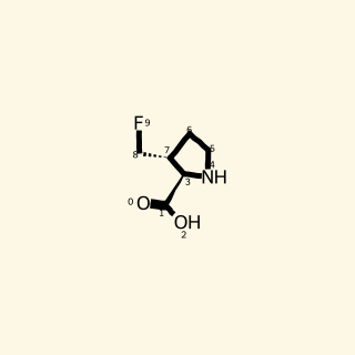 O=C(O)[C@@H]1NCC[C@H]1CF